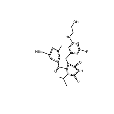 Cc1cc(C#N)cc(C(=O)c2c(C(C)C)c(=O)[nH]c(=O)n2Cc2cc(F)nc(NCCO)c2)c1